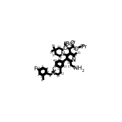 Cc1cc(F)ccc1CN1CCc2cc(-c3c(CN)nc(C)c(C(OC(C)(C)C)C(=O)OC(C)C)c3N3CCC(C)(C)CC3)ccc2C1